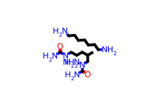 CC(CCCN(N)C(N)=O)CN(N)C(N)=O.NCCCCCCCN